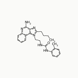 CCCCc1nc2c(N)nc3ccccc3c2n1CCNC(=O)Nc1ccccc1C